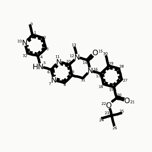 Cc1ccc(Nc2ncc3c(n2)N(C)C(=O)N(c2cc(C(=O)OC(C)(C)C)ccc2C)C3)cn1